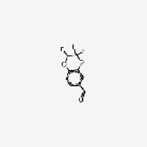 O=Cc1ccc2c(c1)OC(F)(F)C(F)O2